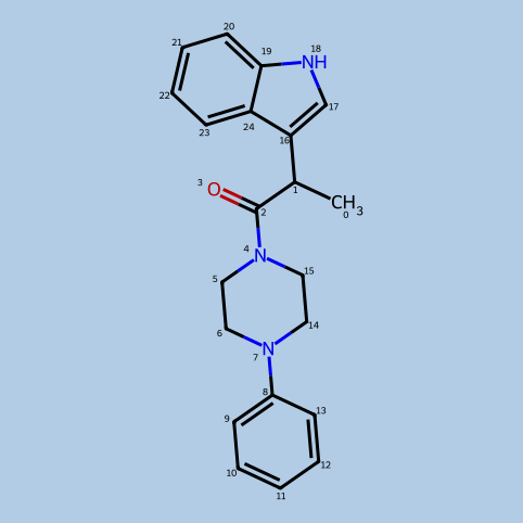 CC(C(=O)N1CCN(c2ccccc2)CC1)c1c[nH]c2ccccc12